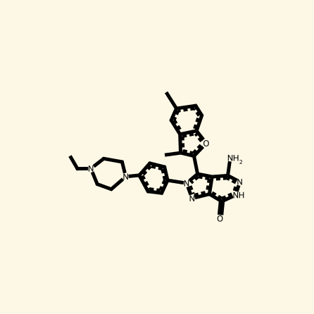 CCN1CCN(c2ccc(-n3nc4c(=O)[nH]nc(N)c4c3-c3oc4ccc(C)cc4c3C)cc2)CC1